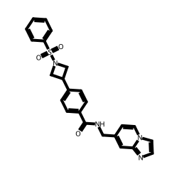 O=C(NCc1ccn2ccnc2c1)c1ccc(C2CN(S(=O)(=O)c3ccccc3)C2)cc1